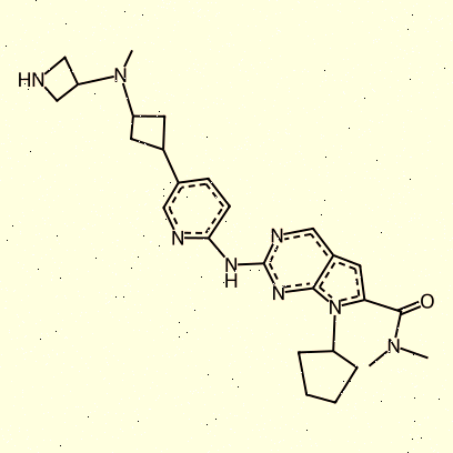 CN(C)C(=O)c1cc2cnc(Nc3ccc(C4CC(N(C)C5CNC5)C4)cn3)nc2n1C1CCCC1